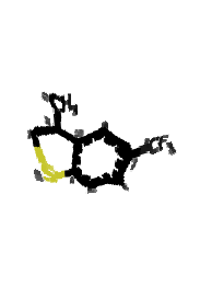 CC1CSc2ccc(C(F)(F)F)cc21